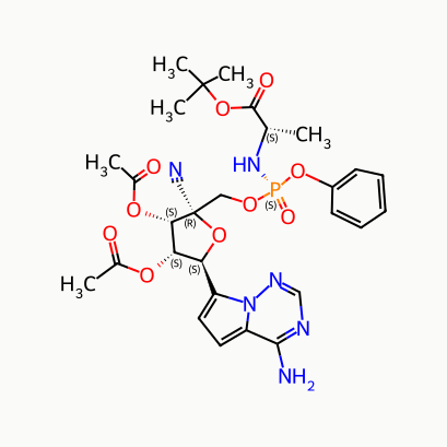 CC(=O)O[C@H]1[C@H](c2ccc3c(N)ncnn23)O[C@](C#N)(CO[P@@](=O)(N[C@@H](C)C(=O)OC(C)(C)C)Oc2ccccc2)[C@H]1OC(C)=O